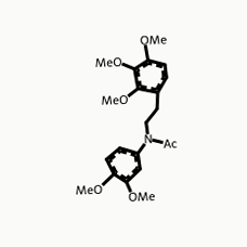 COc1ccc(N(CCc2ccc(OC)c(OC)c2OC)C(C)=O)cc1OC